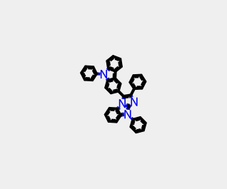 c1ccc(-c2nc3n(-c4ccccc4)c4ccccc4n3c2-c2ccc3c(c2)c2ccccc2n3-c2ccccc2)cc1